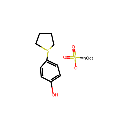 CCCCCCCCS(=O)(=O)[O-].Oc1ccc([S+]2CCCC2)cc1